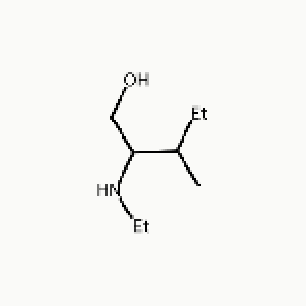 CCNC(CO)C(C)CC